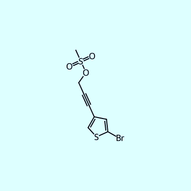 CS(=O)(=O)OCC#Cc1csc(Br)c1